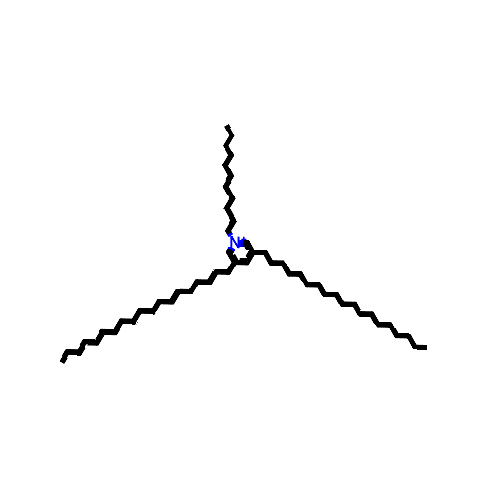 CCCCCCCCCCCCCCCCCCCc1cc(CCCCCCCCCCCCCCCCCCC)c[n+](CCCCCCCCCCC)c1